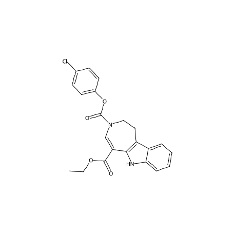 CCOC(=O)C1=CN(C(=O)Oc2ccc(Cl)cc2)CCc2c1[nH]c1ccccc21